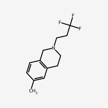 Cc1ccc2c(c1)CCN(CCC(F)(F)F)C2